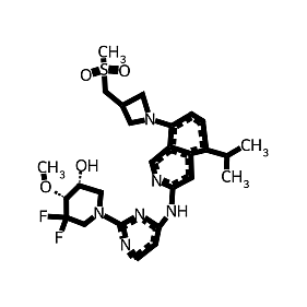 CO[C@@H]1[C@H](O)CN(c2nccc(Nc3cc4c(C(C)C)ccc(N5CC(CS(C)(=O)=O)C5)c4cn3)n2)CC1(F)F